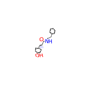 O=C(/C=C/c1ccc(O)cc1)NCCc1ccccc1